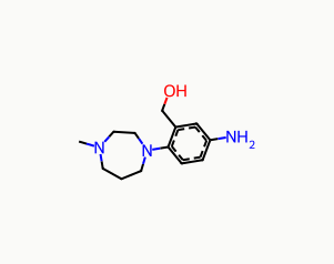 CN1CCCN(c2ccc(N)cc2CO)CC1